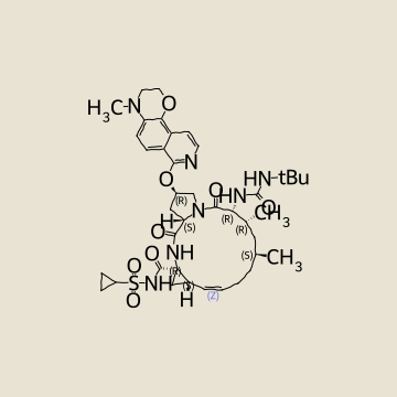 C[C@H]1CC/C=C\[C@@H]2C[C@@]2(C(=O)NS(=O)(=O)C2CC2)NC(=O)[C@@H]2C[C@@H](Oc3nccc4c5c(ccc34)N(C)CCO5)CN2C(=O)[C@H](NC(=O)NC(C)(C)C)[C@H](C)C1